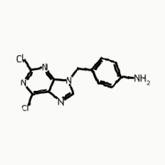 Nc1ccc(Cn2cnc3c(Cl)nc(Cl)nc32)cc1